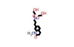 CN1C(=O)CCc2ccc(CCCN(OCCO)OCCO)cc21